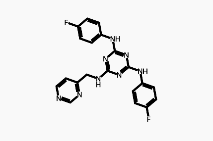 Fc1ccc(Nc2nc(NCc3ccncn3)nc(Nc3ccc(F)cc3)n2)cc1